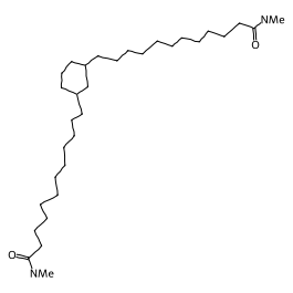 CNC(=O)CCCCCCCCCCCC1CCCC(CCCCCCCCCCCC(=O)NC)C1